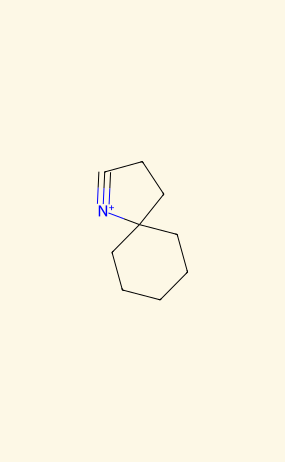 C1#[N+]C2(CC1)CCCCC2